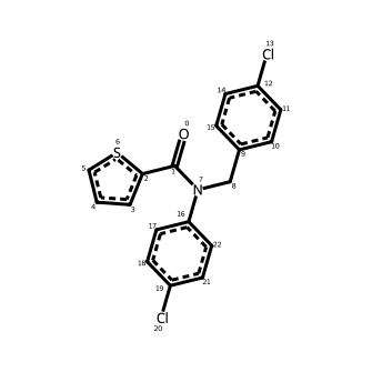 O=C(c1cccs1)N(Cc1ccc(Cl)cc1)c1ccc(Cl)cc1